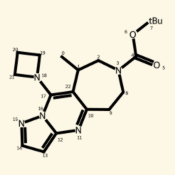 CC1CN(C(=O)OC(C)(C)C)CCc2nc3ccnn3c(N3CCC3)c21